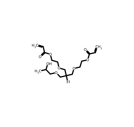 C=CC(=O)OCCOCC(CC)(COCCOC(=O)C=C)COCC(C)O